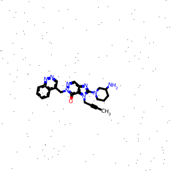 CC#CCn1c(N2CCCC(N)C2)nc2cnn(Cc3cnnc4ccccc34)c(=O)c21